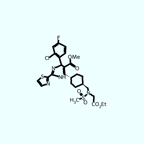 CCOC(=O)CN(C[C@H]1CC[C@H](C2=C(C(=O)OC)C(c3ccc(F)cc3Cl)N=C(c3nccs3)N2)CC1)S(C)(=O)=O